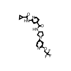 O=C(N[C@@H]1CCN(c2ccnc(OCC(F)(F)F)c2)C1)c1ccnc(NC(=O)C2CC2)c1